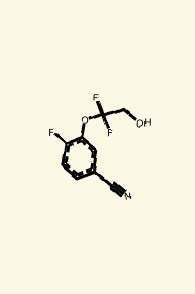 N#Cc1ccc(F)c(OC(F)(F)CO)c1